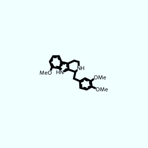 COc1ccc(CC2NCCc3c2[nH]c2c(OC)cccc32)cc1OC